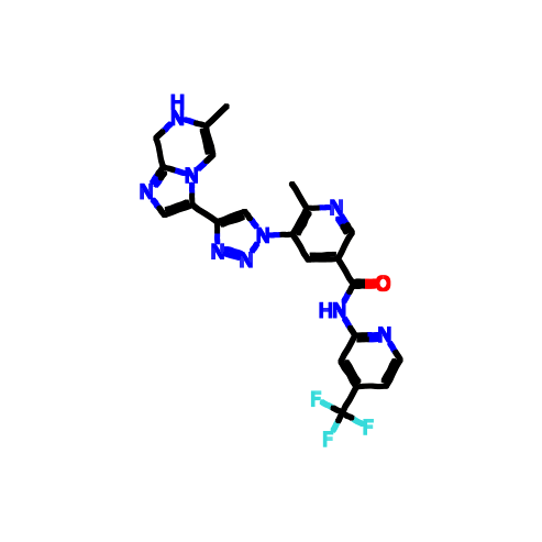 CC1=Cn2c(-c3cn(-c4cc(C(=O)Nc5cc(C(F)(F)F)ccn5)cnc4C)nn3)cnc2CN1